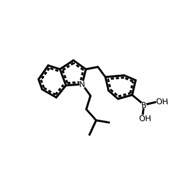 CC(C)CCn1c(Cc2ccc(B(O)O)cc2)cc2ccccc21